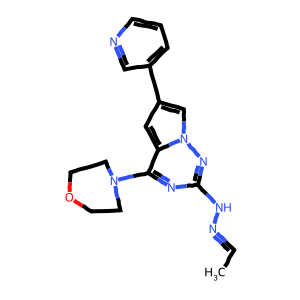 C/C=N/Nc1nc(N2CCOCC2)c2cc(-c3cccnc3)cn2n1